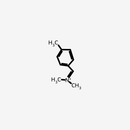 Cc1ccc(C=[N+](C)C)cc1